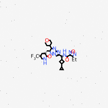 CCc1nonc1C(=O)N[C@H](c1cn2nc(C[C@H]3C[C@@H](C(F)(F)F)CNC3=O)c(C3CCOCC3)nc2n1)C1CC(C2CC2)C1